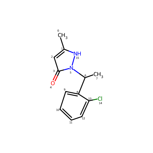 Cc1cc(=O)n(C(C)c2ccccc2Cl)[nH]1